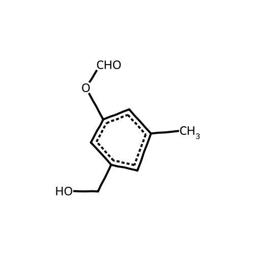 Cc1cc(CO)cc(OC=O)c1